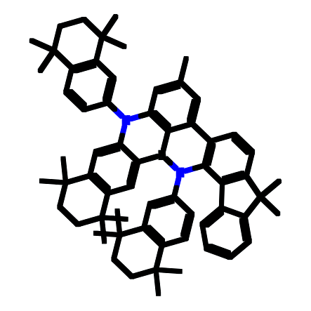 Cc1cc2c3c(c1)N(c1ccc4c(c1)C(C)(C)CCC4(C)C)c1cc4c(cc1B3N(c1ccc3c(c1)C(C)(C)CCC3(C)C)c1c-2ccc2c1-c1ccccc1C2(C)C)C(C)(C)CCC4(C)C